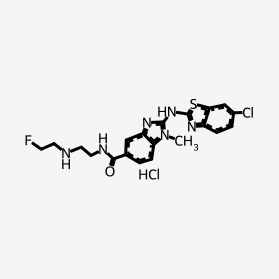 Cl.Cn1c(Nc2nc3ccc(Cl)cc3s2)nc2cc(C(=O)NCCNCCF)ccc21